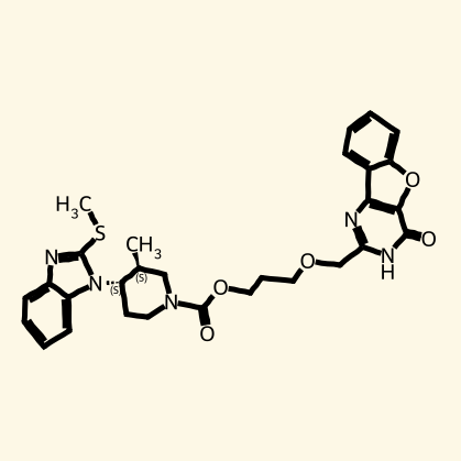 CSc1nc2ccccc2n1[C@H]1CCN(C(=O)OCCCOCc2nc3c(oc4ccccc43)c(=O)[nH]2)C[C@@H]1C